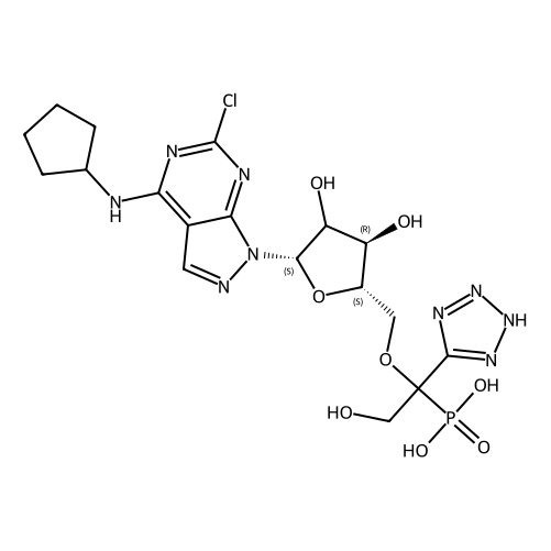 O=P(O)(O)C(CO)(OC[C@@H]1O[C@H](n2ncc3c(NC4CCCC4)nc(Cl)nc32)C(O)[C@H]1O)c1nn[nH]n1